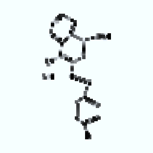 Nc1c(/N=N/c2ccc(Br)cc2)cc(S(=O)(=O)O)c2ccccc12.[NaH]